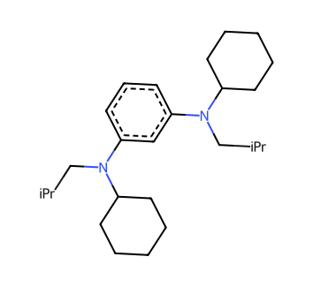 CC(C)CN(c1cccc(N(CC(C)C)C2CCCCC2)c1)C1CCCCC1